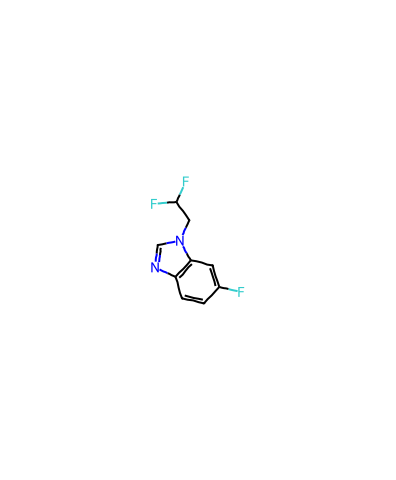 Fc1ccc2ncn(CC(F)F)c2c1